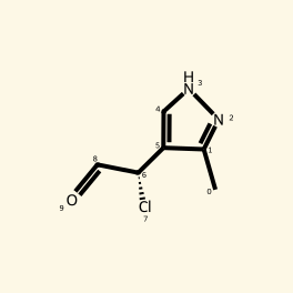 Cc1n[nH]cc1[C@H](Cl)C=O